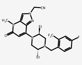 CC[C@@H]1CN(c2cc(=O)n(C)c3cn(CC#N)nc23)[C@@H](CC)CN1Cc1ccc(F)cc1C(F)(F)F